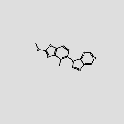 CSc1nc2c(C)c(-n3cnc4cncnc43)ccc2o1